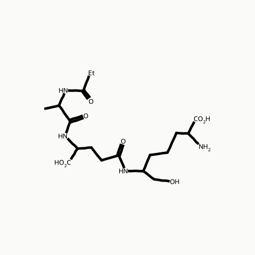 CCC(=O)NC(C)C(=O)NC(CCC(=O)NC(CO)CCCC(N)C(=O)O)C(=O)O